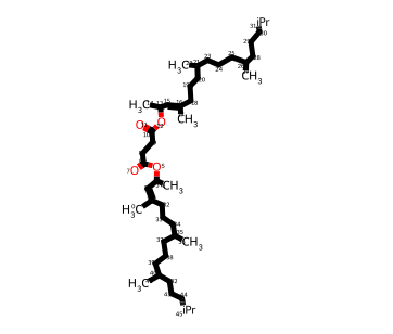 CC(=CC(C)OC(=O)CCC(=O)OC(C)C=C(C)CCCC(C)CCCC(C)CCCC(C)C)CCCC(C)CCCC(C)CCCC(C)C